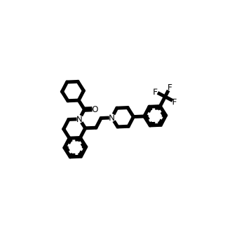 O=C(C1CCCCC1)N1CCc2ccccc2C1CCN1CCC(c2cccc(C(F)(F)F)c2)CC1